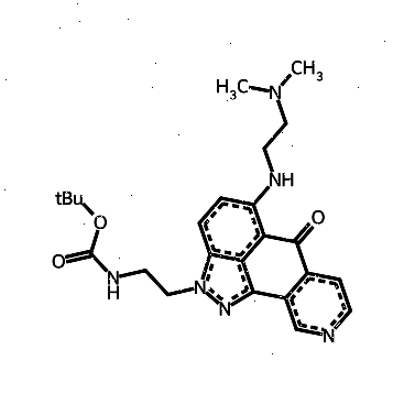 CN(C)CCNc1ccc2c3c(nn2CCNC(=O)OC(C)(C)C)-c2cnccc2C(=O)c13